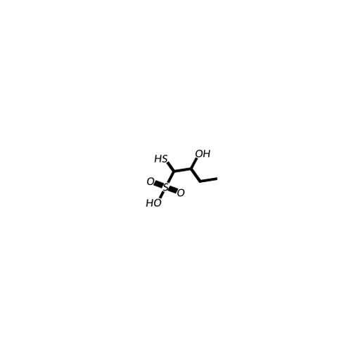 CCC(O)C(S)S(=O)(=O)O